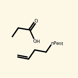 C=CCCCCCCC.CCC(=O)O